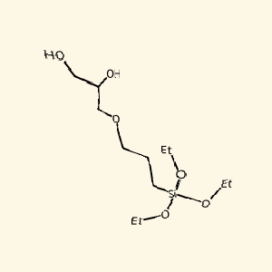 CCO[Si](CCCOCC(O)CO)(OCC)OCC